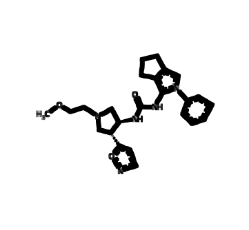 COCCN1C[C@@H](NC(=O)Nc2c3c(cn2-c2ccccc2)CCC3)[C@H](c2ccno2)C1